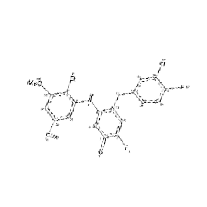 CCc1c(Nc2nc(=O)c(F)cn2Cc2ccc(F)c(Cl)c2)cc(OC)cc1OC